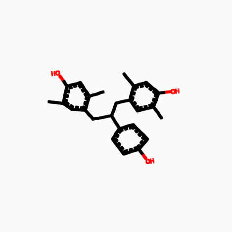 Cc1cc(CC(Cc2cc(C)c(O)cc2C)c2ccc(O)cc2)c(C)cc1O